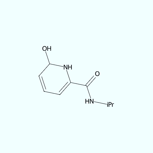 CC(C)NC(=O)C1=CC=CC(O)N1